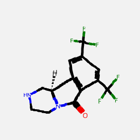 O=C1c2c(cc(C(F)(F)F)cc2C(F)(F)F)[C@@H]2CNCCN12